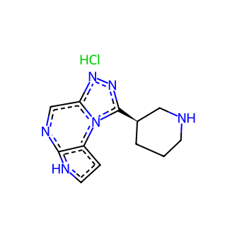 Cl.c1cc2c(ncc3nnc([C@@H]4CCCNC4)n32)[nH]1